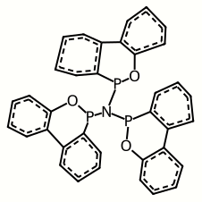 c1ccc2c(c1)OP(N(P1Oc3ccccc3-c3ccccc31)P1Oc3ccccc3-c3ccccc31)c1ccccc1-2